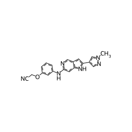 Cn1cc(-c2cc3cnc(Nc4cccc(OCC#N)c4)cc3[nH]2)cn1